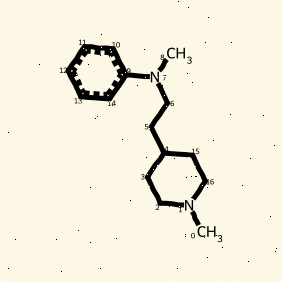 CN1CCC(CCN(C)c2ccccc2)CC1